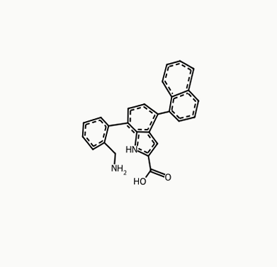 NCc1ccccc1-c1ccc(-c2cccc3ccccc23)c2cc(C(=O)O)[nH]c12